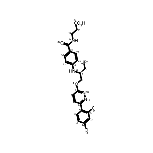 CC(C)C[C@@H](COc1ccc(-c2ccc(Cl)cc2Cl)nn1)Nc1ccc(C(=O)NCCC(=O)O)cc1